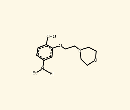 CCN(CC)c1ccc(C=O)c(OCCN2CCOCC2)c1